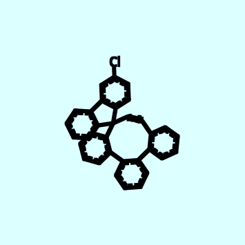 Clc1ccc2c(c1)-c1ccccc1C21c2ccccc2-c2ccccc2-c2ccccc2-c2ccccc21